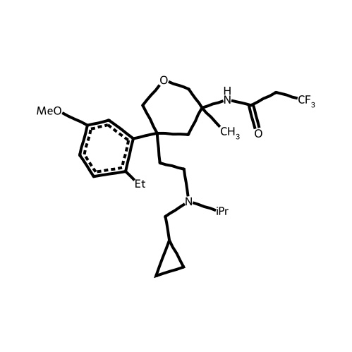 CCc1ccc(OC)cc1C1(CCN(CC2CC2)C(C)C)COCC(C)(NC(=O)CC(F)(F)F)C1